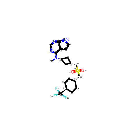 CN(c1ncnc2[nH]ccc12)[C@H]1C[C@@H](CS(=O)(=O)C[C@H]2CC[C@H](C(F)(F)F)CC2)C1